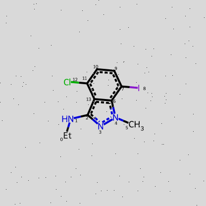 CCNc1nn(C)c2c(I)ccc(Cl)c12